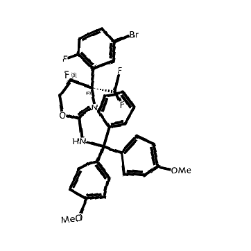 COc1ccc(C(NC2=N[C@@](c3cc(Br)ccc3F)(C(F)F)[C@H](F)CO2)(c2ccccc2)c2ccc(OC)cc2)cc1